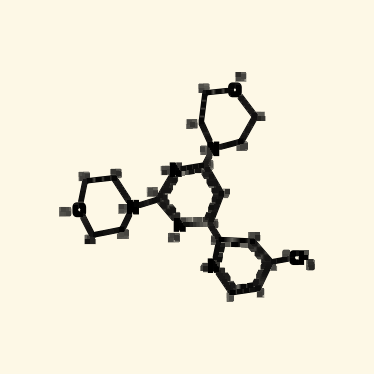 FC(F)(F)c1ccnc(-c2cc(N3CCOCC3)nc(N3CCOCC3)n2)c1